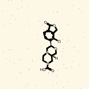 O=C1OCc2c1ccc([C@@H]1CN3CCN(C(=O)O)C[C@H]3CO1)c2Cl